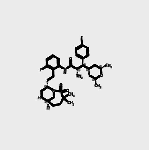 C[C@@H]1C[C@H]([C@H](c2ccc(F)cc2)[C@H](N)C(=O)Nc2cccc(F)c2CC[C@H]2CN[C@@H]3CCC(C)(C)S(=O)(=O)N2C3)C[C@H](C)O1